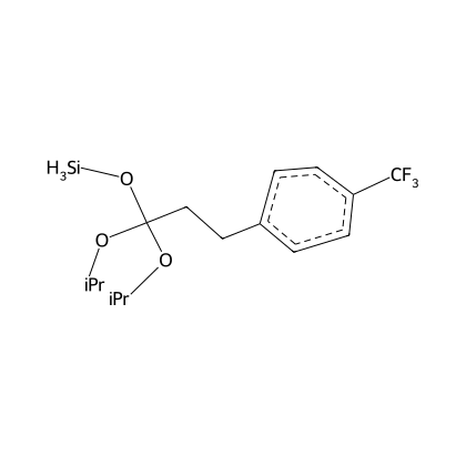 CC(C)OC(CCc1ccc(C(F)(F)F)cc1)(O[SiH3])OC(C)C